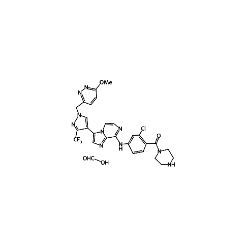 COc1ccc(Cn2cc(-c3cnc4c(Nc5ccc(C(=O)N6CCNCC6)c(Cl)c5)nccn34)c(C(F)(F)F)n2)nn1.O=CO